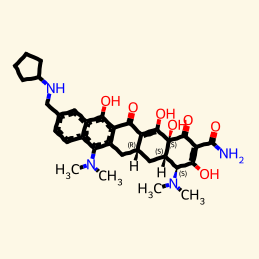 CN(C)c1c2c(c(O)c3cc(CNC4CCCC4)ccc13)C(=O)C1=C(O)[C@]3(O)C(=O)C(C(N)=O)=C(O)[C@@H](N(C)C)[C@@H]3C[C@@H]1C2